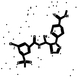 CNC(=O)c1ccc(-n2ncnc2C(S)NC(=O)c2cc(Cl)cc(S(C)(=O)=O)c2)nc1